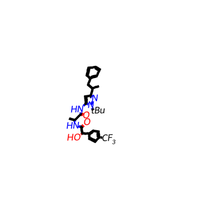 CC(NC(=O)C(O)c1ccc(C(F)(F)F)cc1)C(=O)Nc1cc(C(C)Cc2ccccc2)nn1C(C)(C)C